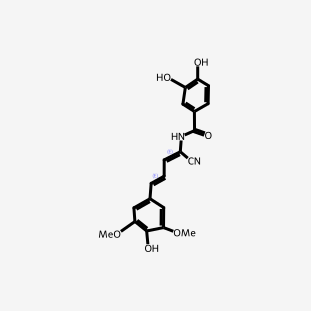 COc1cc(/C=C/C=C(\C#N)NC(=O)c2ccc(O)c(O)c2)cc(OC)c1O